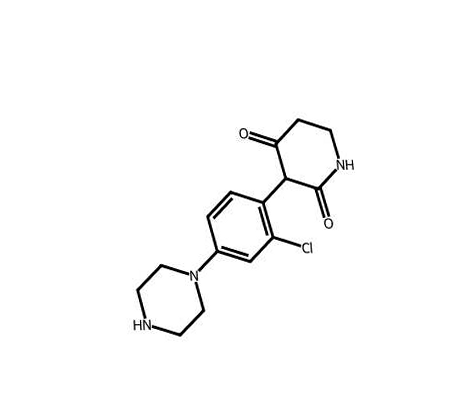 O=C1CCNC(=O)C1c1ccc(N2CCNCC2)cc1Cl